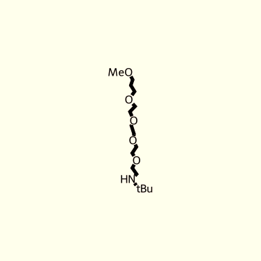 COCCCOCCOCCOCCOCCNC(C)(C)C